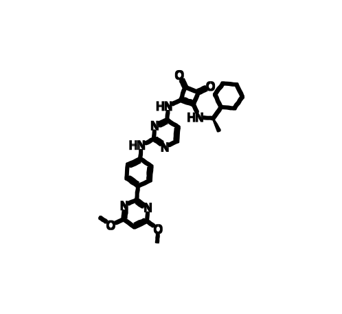 COc1cc(OC)nc(-c2ccc(Nc3nccc(Nc4c(N[C@H](C)C5CCCCC5)c(=O)c4=O)n3)cc2)n1